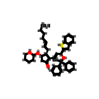 CC(C)(C)[Si](O[C@H](C=C[C@H]1C(=O)C[C@H](OC2CCCCO2)[C@@H]1CC=CCCCC(=O)O)c1cc2ccccc2s1)(c1ccccc1)c1ccccc1